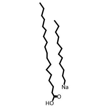 CCCCCCCCCCCCCCCCCC(=O)O.CCCCCCCCCCC[CH2][Na]